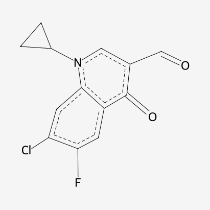 O=Cc1cn(C2CC2)c2cc(Cl)c(F)cc2c1=O